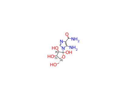 NC(=O)c1ncn(C2(O)O[C@H](CO)[C@@H](O)[C@H]2O)c1N